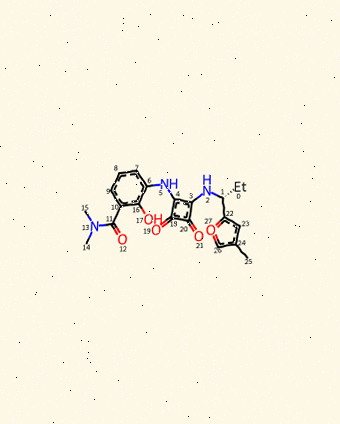 CC[C@@H](Nc1c(Nc2cccc(C(=O)N(C)C)c2O)c(=O)c1=O)c1cc(C)co1